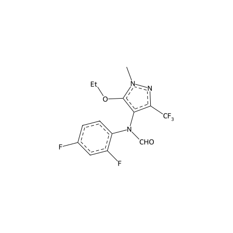 CCOc1c(N(C=O)c2ccc(F)cc2F)c(C(F)(F)F)nn1C